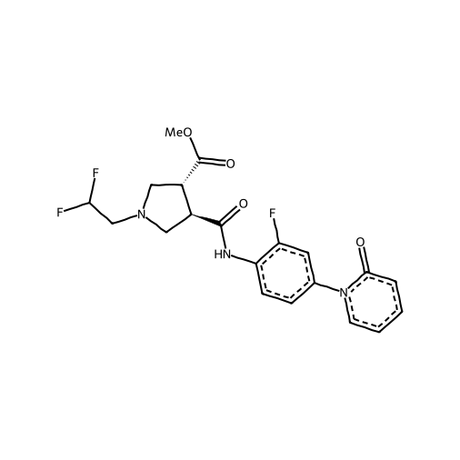 COC(=O)[C@H]1CN(CC(F)F)C[C@@H]1C(=O)Nc1ccc(-n2ccccc2=O)cc1F